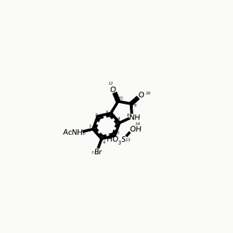 CC(=O)Nc1cc2c(cc1Br)NC(=O)C2=O.O=S(=O)(O)O